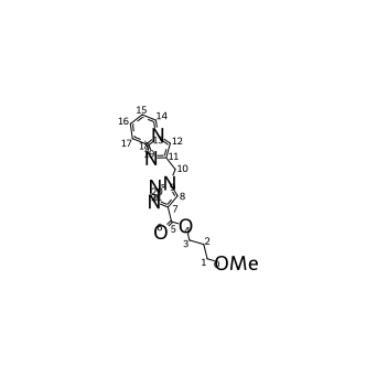 COCCCOC(=O)c1cn(Cc2cn3ccccc3n2)nn1